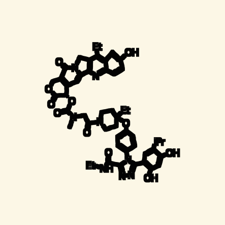 CCNC(=O)c1nnc(-c2cc(C(C)C)c(O)cc2O)n1-c1ccc(OC2(CC)CCN(C(=O)CN(C)C(=O)O[C@@H]3C(=O)OCc4c3cc3n(c4=O)Cc4c-3nc3ccc(O)cc3c4CC)CC2)cc1